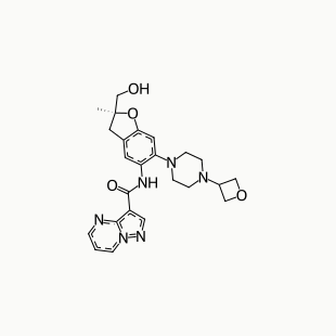 C[C@@]1(CO)Cc2cc(NC(=O)c3cnn4cccnc34)c(N3CCN(C4COC4)CC3)cc2O1